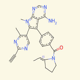 C#Cc1ncc(-c2c(-c3ccc(C(=O)N4CCC/C4=C\C)cc3)c3c(N)ncnc3n2C)c(C)n1